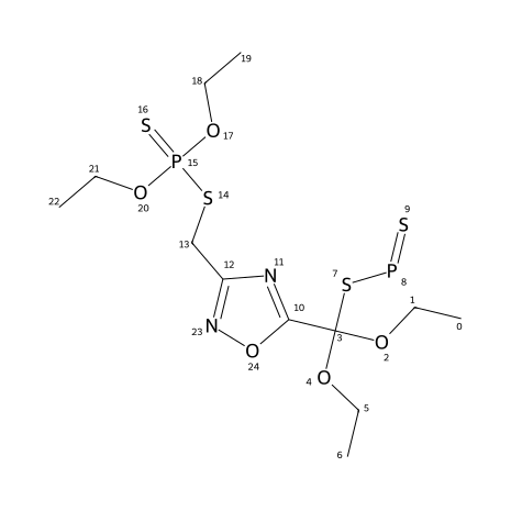 CCOC(OCC)(SP=S)c1nc(CSP(=S)(OCC)OCC)no1